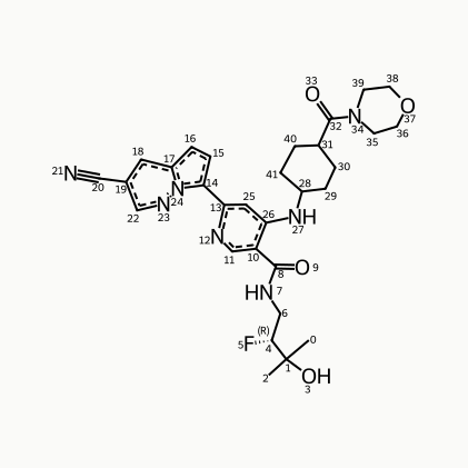 CC(C)(O)[C@H](F)CNC(=O)c1cnc(-c2ccc3cc(C#N)cnn23)cc1NC1CCC(C(=O)N2CCOCC2)CC1